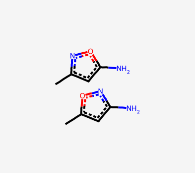 Cc1cc(N)no1.Cc1cc(N)on1